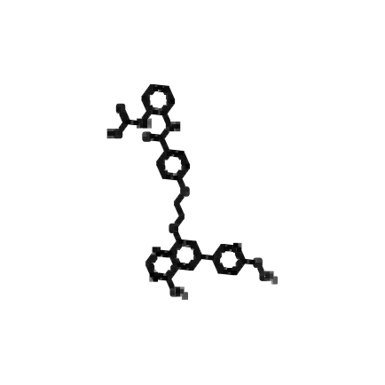 COc1ccc(-c2cc(OCCOc3ccc(C(=O)Nc4ccccc4NC(=O)O)cc3)c3ncnc(C)c3c2)cn1